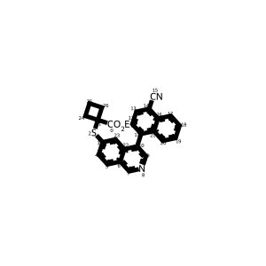 CCOC(=O)C1(Sc2ccc3cncc(-c4ccc(C#N)c5ccccc45)c3c2)CCC1